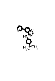 CN(C)C1CCC(Nc2ncnc3ccc(-c4cccnc4)cc23)CC1